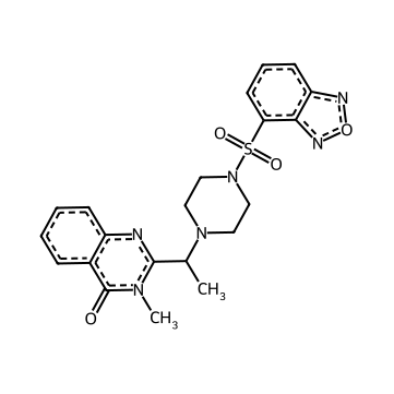 CC(c1nc2ccccc2c(=O)n1C)N1CCN(S(=O)(=O)c2cccc3nonc23)CC1